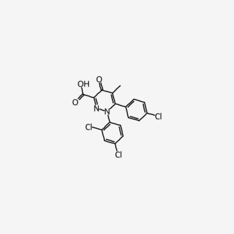 Cc1c(-c2ccc(Cl)cc2)n(-c2ccc(Cl)cc2Cl)nc(C(=O)O)c1=O